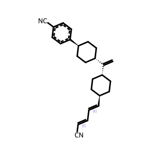 C=C([C@H]1CC[C@H](/C=C/C=C/C#N)CC1)[C@H]1CC[C@H](c2ccc(C#N)cc2)CC1